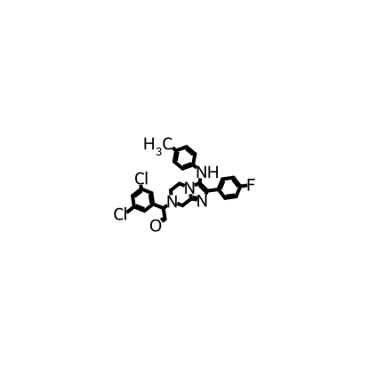 Cc1ccc(Nc2c(-c3ccc(F)cc3)nc3n2CCN(C(C=O)c2cc(Cl)cc(Cl)c2)C3)cc1